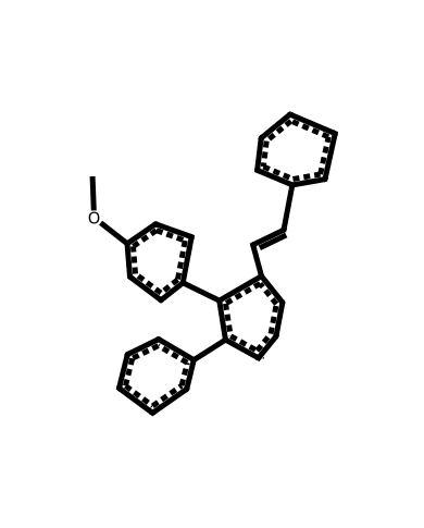 COc1ccc(-c2c(-c3ccccc3)[c]ccc2C=Cc2ccccc2)cc1